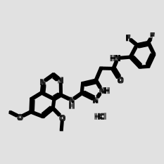 COc1cc(OC)c2c(Nc3cc(CC(=O)Nc4cccc(F)c4F)[nH]n3)ncnc2c1.Cl